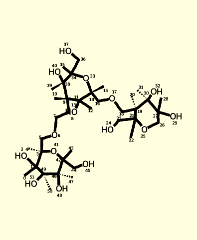 CC1(O)[C@@](C)(COCC[C@@]2(C)C(C)(O)[C@@](C)(COC[C@]3(C)C(C)(CO)OCC(C)(O)[C@]3(C)O)OC(C)(CO)[C@@]2(C)O)OC(C)(CO)[C@@](C)(O)[C@@]1(C)O